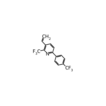 C=Cc1ccc(-c2ccc(C(F)(F)F)cc2)nc1C(F)(F)F